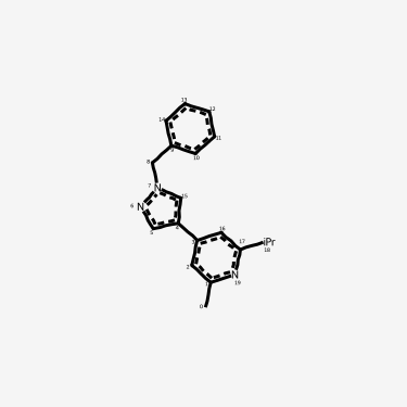 Cc1cc(-c2cnn(Cc3ccccc3)c2)cc(C(C)C)n1